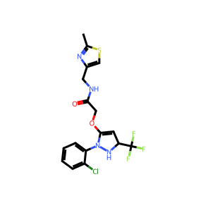 Cc1nc(CNC(=O)COC2=CC(C(F)(F)F)NN2c2ccccc2Cl)cs1